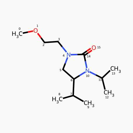 COCCN1CC(C(C)C)N(C(C)C)C1=O